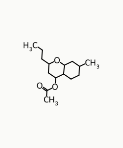 CCCC1CC(OC(C)=O)C2CCC(C)CC2O1